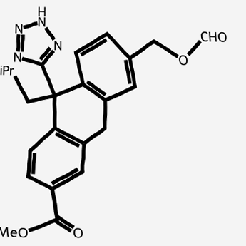 COC(=O)c1ccc2c(c1)Cc1cc(COC=O)ccc1C2(CC(C)C)c1nn[nH]n1